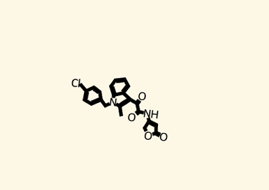 Cc1c(C(=O)C(=O)NC2=CC(=O)OC2)c2ccccc2n1Cc1ccc(Cl)cc1